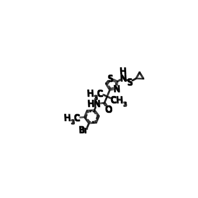 Cc1cc(NC(=O)C(C)(C)c2csc(NSC3CC3)n2)ccc1Br